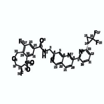 O=C(NCc1cc2nc(-c3cccc([C@@H]4CC4(F)F)n3)ccc2cn1)c1cc(F)c2c(c1)S(=O)(=O)[C@@H](F)COC2